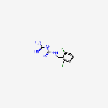 N=C(N)NC(=N)NCc1c(F)cccc1F